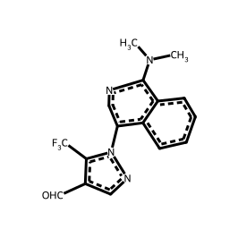 CN(C)c1ncc(-n2ncc(C=O)c2C(F)(F)F)c2ccccc12